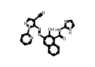 N#Cc1cnn(-c2ccccn2)c1/N=N/c1cc2ccccc2c(C(=O)Nc2ncc[nH]2)c1O